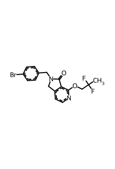 CC(F)(F)COc1nccc2c1C(=O)N(Cc1ccc(Br)cc1)C2